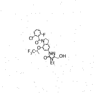 CCn1c(CO)nn(-c2cc3c(c(O[C@@H](C)C(F)(F)F)c2)N(C(=O)c2c(F)cccc2Cl)CC3)c1=O